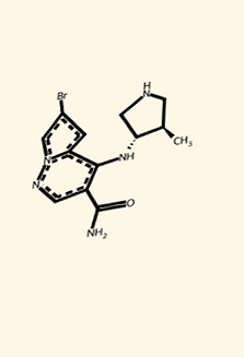 C[C@@H]1CNC[C@H]1Nc1c(C(N)=O)cnn2cc(Br)cc12